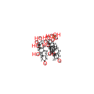 C[C@]12C=CC(=O)C=C1CCC1C2C(O)C[C@@]2(C)C1CC[C@]2(O)C(=O)CO.C[C@]12C=CC(=O)C=C1CC[C@@H]1[C@@H]2C(O)C[C@@]2(C)[C@H]1CC[C@]2(O)C(=O)C(O)OP(=O)(O)O